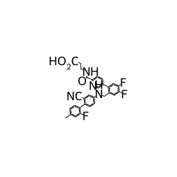 Cc1ccc(-c2ccc(NCc3cc(F)c(F)cc3-c3ccc(C(=O)NCCC(=O)O)nc3)cc2C#N)c(F)c1